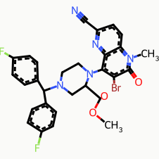 COC(=O)C1CN(C(c2ccc(F)cc2)c2ccc(F)cc2)CCN1c1c(Br)c(=O)n(C)c2ccc(C#N)nc12